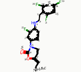 CC(=O)NCC1CN(c2ccc(NCCc3c(F)cc(F)cc3F)c(F)c2)C(=O)O1